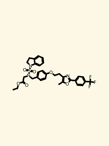 CCOC(=O)CN(Cc1ccc(OCCc2nc(-c3ccc(C(F)(F)F)cc3)oc2C)cc1)S(=O)(=O)N1CCc2ccccc21